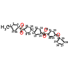 Cc1ccc(S(=O)(=O)c2ccc(-c3ccc(S(=O)(=O)c4ccc(Oc5ccccc5)cc4)cc3)cc2)cc1